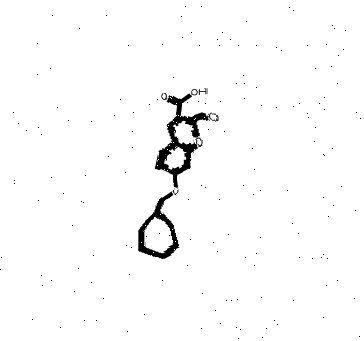 O=C(O)c1cc2ccc(OCC3CCCCC3)cc2oc1=O